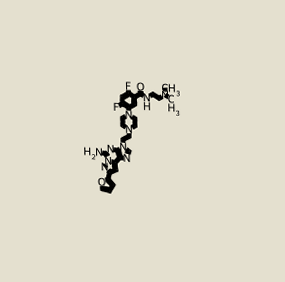 CN(C)CCNC(=O)c1cc(N2CCN(CCn3cnc4c3nc(N)n3nc(-c5ccco5)cc43)CC2)c(F)cc1F